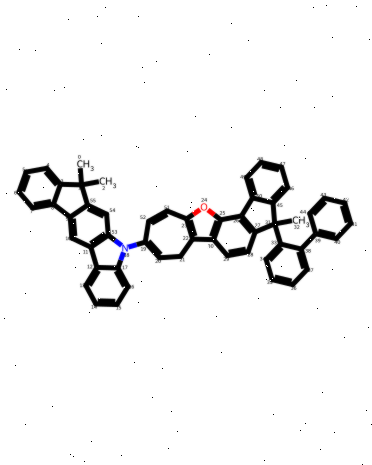 CC1(C)c2ccccc2-c2cc3c4ccccc4n(C4=CCc5c(oc6c7c(ccc56)C(C)(c5ccccc5-c5ccccc5)c5ccccc5-7)C=C4)c3cc21